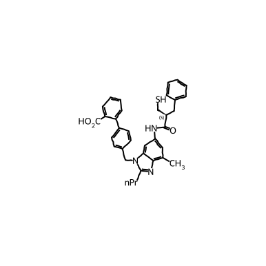 CCCc1nc2c(C)cc(NC(=O)[C@@H](CS)Cc3ccccc3)cc2n1Cc1ccc(-c2ccccc2C(=O)O)cc1